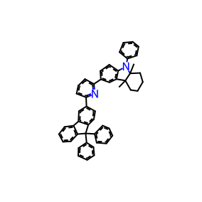 CC12CCCCC1(C)N(c1ccccc1)c1ccc(-c3cccc(-c4ccc5c(c4)-c4ccccc4C5(c4ccccc4)c4ccccc4)n3)cc12